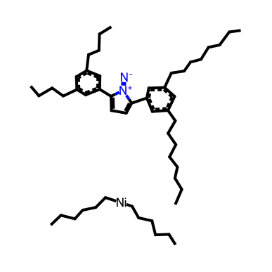 CCCCCCCCc1cc(CCCCCCCC)cc(C2=CC=C(c3cc(CCCC)cc(CCCC)c3)[N+]2=[N-])c1.CCCCC[CH2][Ni][CH2]CCCCC